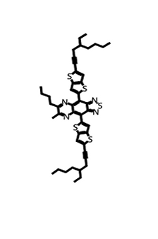 CCCCc1nc2c(-c3cc4sc(C#CCC(CC)CCCC)cc4s3)c3nsnc3c(-c3cc4sc(C#CCC(CC)CCCC)cc4s3)c2nc1C